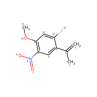 C=C(C)c1cc([N+](=O)[O-])c(OC)cc1F